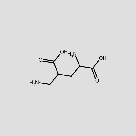 NCC(CC(N)C(=O)O)C(=O)O